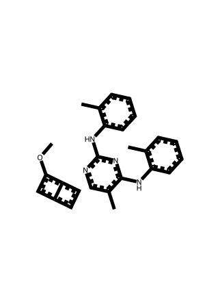 COc1cc2ccc1-2.Cc1ccccc1Nc1ncc(C)c(Nc2ccccc2C)n1